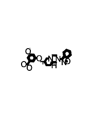 COC(=O)c1cc(OC)cc(OC[C@@H]2CC[C@H]3CN(c4noc5ccccc45)CCN3C2)c1